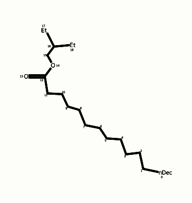 CCCCCCCCCCCCCCCCCCCCCC(=O)OCC(CC)CC